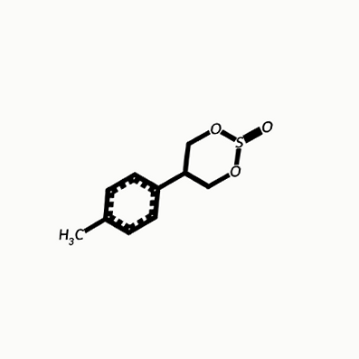 Cc1ccc(C2COS(=O)OC2)cc1